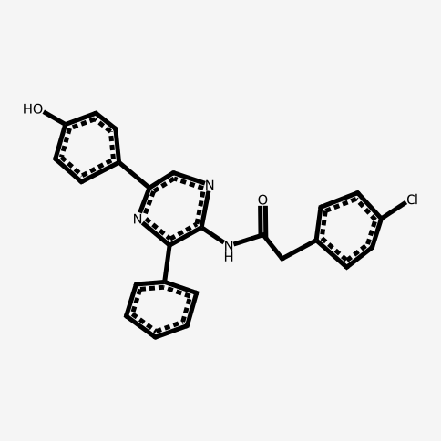 O=C(Cc1ccc(Cl)cc1)Nc1ncc(-c2ccc(O)cc2)nc1-c1ccccc1